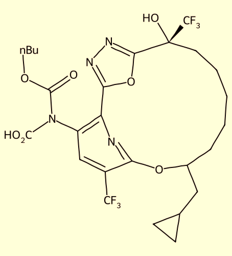 CCCCOC(=O)N(C(=O)O)c1cc(C(F)(F)F)c2nc1-c1nnc(o1)[C@@](O)(C(F)(F)F)CCCCCC(CC1CC1)O2